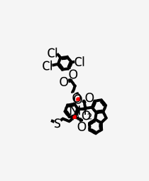 COC(=O)C(OC(=O)[C@@H](N)CCSC)(c1ccccc1OCCC(=O)Oc1cc(Cl)c(Cl)cc1Cl)c1cccc2c1-c1ccccc1C2